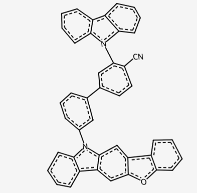 N#Cc1ccc(-c2cccc(-n3c4ccccc4c4cc5oc6ccccc6c5cc43)c2)cc1-n1c2ccccc2c2ccccc21